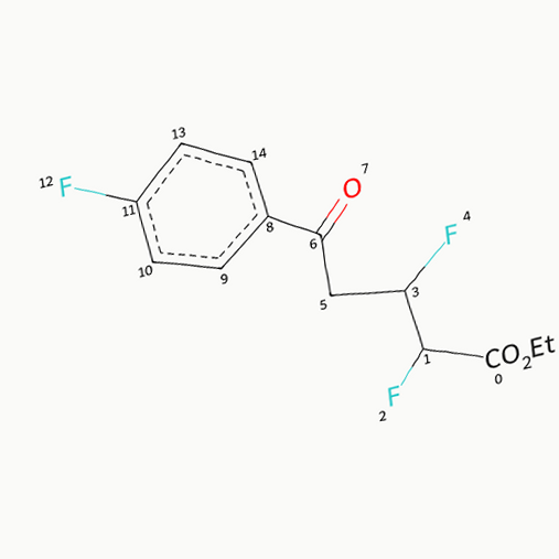 CCOC(=O)C(F)C(F)CC(=O)c1ccc(F)cc1